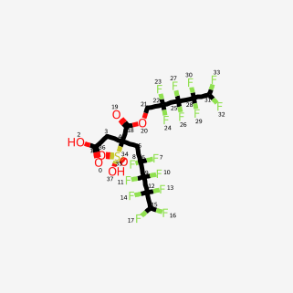 O=C(O)CC(CC(F)(F)C(F)(F)C(F)(F)C(F)F)(C(=O)OCC(F)(F)C(F)(F)C(F)(F)C(F)F)S(=O)(=O)O